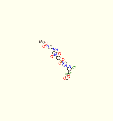 CC(C)(C)OC(=O)N1CCC(NC2CC(=O)N3c4ccc(S(=O)(=O)N5CCN(c6cc(C(F)(F)[C@@H]7COCCO7)cc(Cl)n6)CC5)cc4OCC23)CC1